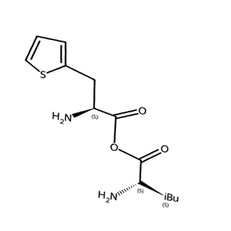 CC[C@H](C)[C@H](N)C(=O)OC(=O)[C@@H](N)Cc1cccs1